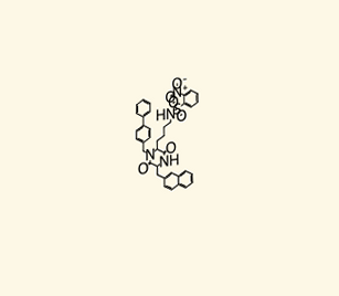 O=C1NC(Cc2ccc3ccccc3c2)C(=O)N(Cc2ccc(-c3ccccc3)cc2)C1CCCCNS(=O)(=O)c1ccccc1[N+](=O)[O-]